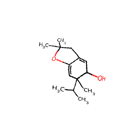 CC(C)C1(C)C=C2OC(C)(C)CC2=CC1O